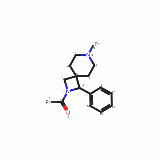 CC(C)C(=O)N1CC2(CCN(C(C)C)CC2)C1c1ccccc1